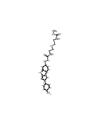 CC(C)(C)OC(=O)NCCOCCNC(=O)CCc1ccc2c(c1)sc1nc(-c3ccc(C(F)(F)F)cc3)cn12